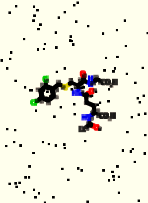 CCC(=O)N[C@@H](CCC(=O)N[C@@H](CSCc1ccc(Cl)cc1Cl)C(=O)NCC(=O)O)C(=O)O